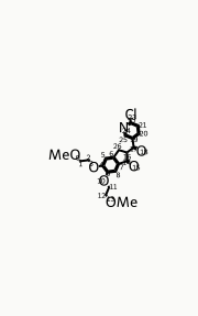 COCCOc1cc2c(cc1OCCOC)C(=O)C(C(=O)c1ccc(Cl)nc1)C2